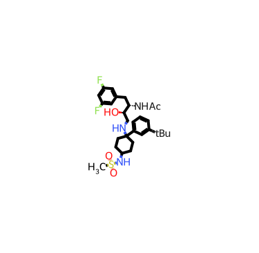 CC(=O)N[C@@H](Cc1cc(F)cc(F)c1)[C@H](O)CNC1(c2cccc(C(C)(C)C)c2)CCC(NS(C)(=O)=O)CC1